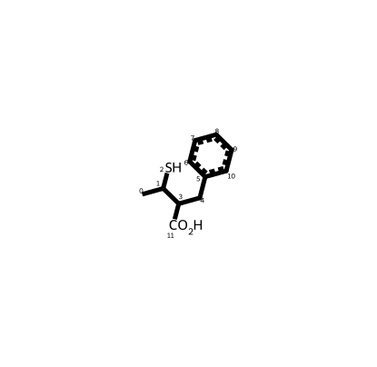 CC(S)C(Cc1ccccc1)C(=O)O